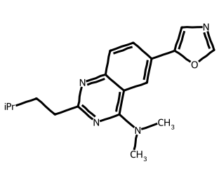 CC(C)CCc1nc(N(C)C)c2cc(-c3cnco3)ccc2n1